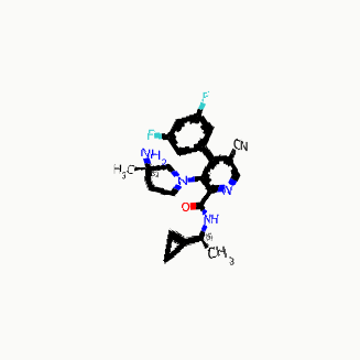 C[C@H](NC(=O)c1ncc(C#N)c(-c2cc(F)cc(F)c2)c1N1CC[C@](C)(N)C1)C1CC1